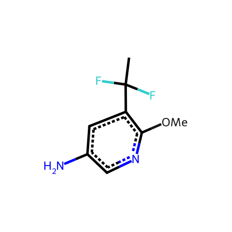 COc1ncc(N)cc1C(C)(F)F